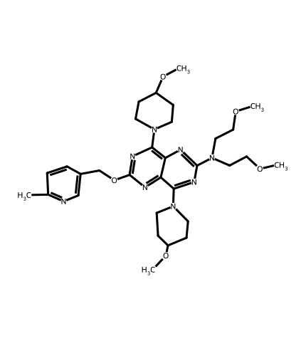 COCCN(CCOC)c1nc(N2CCC(OC)CC2)c2nc(OCc3ccc(C)nc3)nc(N3CCC(OC)CC3)c2n1